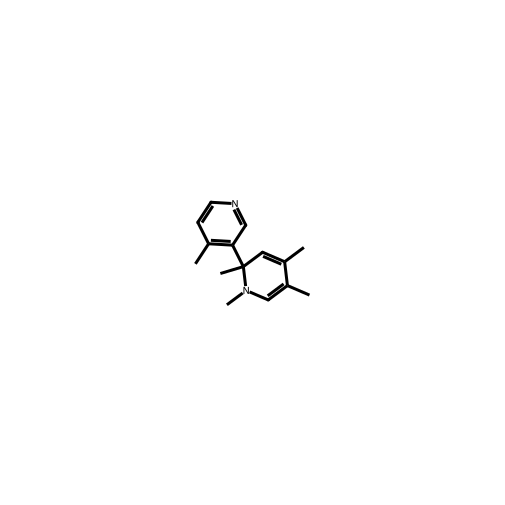 CC1=CN(C)C(C)(c2cnccc2C)C=C1C